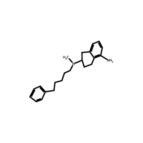 CN(CCCCCc1ccccc1)C1CCc2c(N)cccc2C1